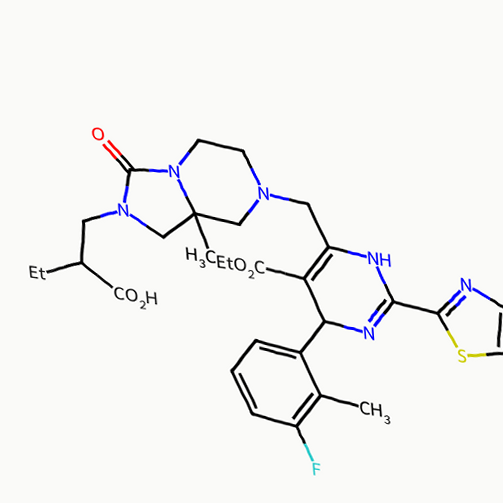 CCOC(=O)C1=C(CN2CCN3C(=O)N(CC(CC)C(=O)O)CC3(C)C2)NC(c2nccs2)=NC1c1cccc(F)c1C